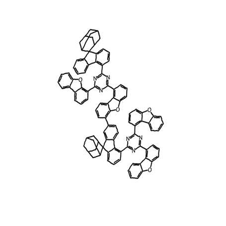 c1ccc2c(c1)-c1c(-c3nc(-c4cccc5c4oc4ccccc45)nc(-c4cccc5oc6c(-c7ccc8c(c7)C7(c9cccc(-c%10nc(-c%11cccc%12oc%13ccccc%13c%11%12)nc(-c%11cccc%12oc%13ccccc%13c%11%12)n%10)c9-8)C8CC9CC(C8)CC7C9)cccc6c45)n3)cccc1C21C2CC3CC(C2)CC1C3